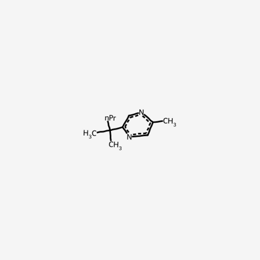 CCCC(C)(C)c1cnc(C)cn1